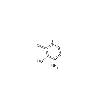 N.O=c1[nH]cccc1O